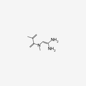 C=C(C)C(=C)N(C)C=C(N)N